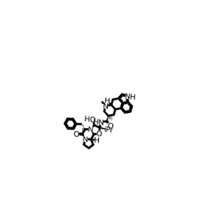 CC(C)[C@@]1(NC(=O)[C@@H]2CC3c4cccc5[nH]cc(c45)C[C@H]3N(C)C2)OC2[C@@H]3CCCN3C(=O)[C@H](Cc3ccccc3)N2C1O